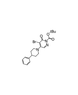 CC(C)(C)OC(=O)n1ncc(N2CCC(c3ccccc3)CC2)c(Br)c1=O